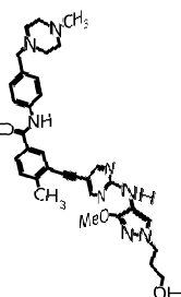 COc1nn(CCCO)cc1Nc1ncc(C#Cc2cc(C(=O)Nc3ccc(CN4CCN(C)CC4)cc3)ccc2C)cn1